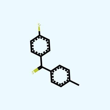 Cc1ccc(C(=S)c2ccc([S])cc2)cc1